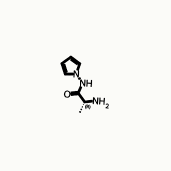 C[C@@H](N)C(=O)Nn1cccc1